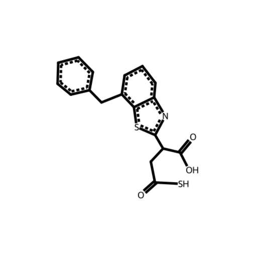 O=C(S)CC(C(=O)O)c1nc2cccc(Cc3ccccc3)c2s1